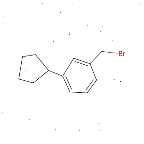 BrCc1cccc(C2CCCC2)c1